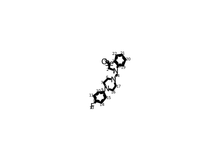 O=[Se]1CN(CN2CCN(c3ccc(F)cc3)CC2)c2ccccc21